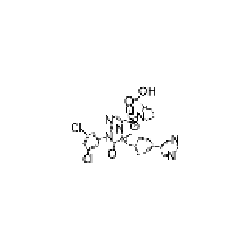 C[C@@]1(Cc2ccc(-c3cncnc3)cc2)C(=O)N(c2cc(Cl)cc(Cl)c2)c2ncc(S(=O)(=O)N3CCC[C@H]3C(=O)O)n21